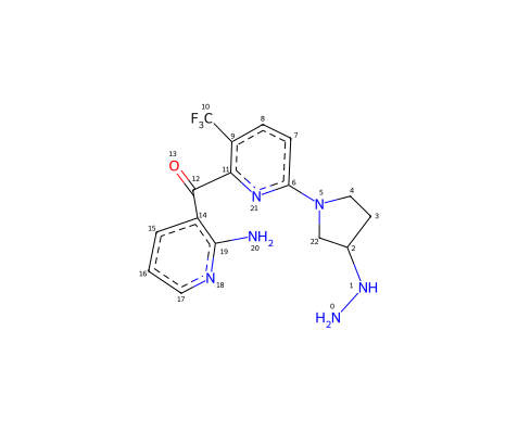 NNC1CCN(c2ccc(C(F)(F)F)c(C(=O)c3cccnc3N)n2)C1